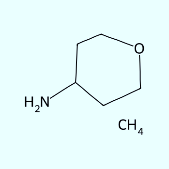 C.NC1CCOCC1